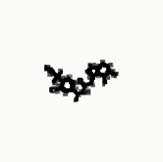 CC(NC(=O)Cn1cnc2ccc(F)c(F)c21)c1ccc(C(C)(C)C#N)c(Cl)c1